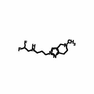 CN1CCc2nn(CCCNCC(F)F)cc2C1